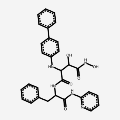 O=C(Nc1ccccn1)C(Cc1ccccc1)NC(=O)C(Nc1ccc(-c2ccccc2)cc1)C(O)C(=O)NO